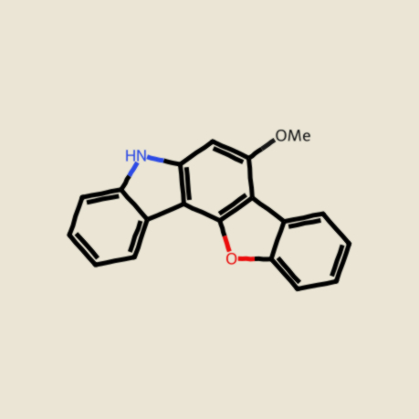 COc1cc2[nH]c3ccccc3c2c2oc3ccccc3c12